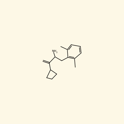 C=C(C(N)Cc1c(C)cccc1C)C1CCC1